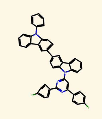 Fc1ccc(-c2cc(-n3c4ccccc4c4cc(-c5ccc6c(c5)c5ccccc5n6-c5ccccc5)ccc43)nc(-c3ccc(F)cc3)n2)cc1